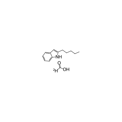 CCCCCc1cc2ccccc2[nH]1.[2H]C(=O)O